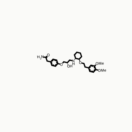 COc1ccc(CCO[C@@H]2CCCC[C@H]2NC[C@H](O)COc2ccc(CC(N)=O)cc2)cc1OC